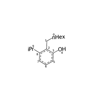 CCCCCCCc1c(O)cccc1C(C)C